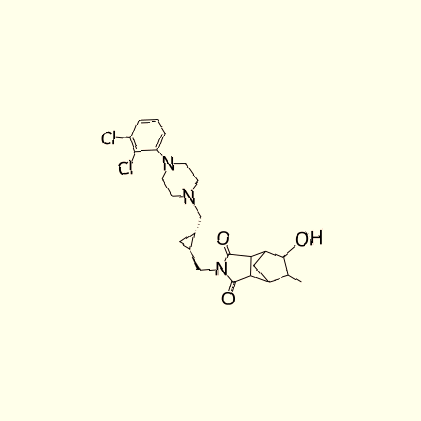 CC1C(O)C2CC1C1C(=O)N(C[C@H]3C[C@@H]3CN3CCN(c4cccc(Cl)c4Cl)CC3)C(=O)C21